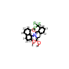 COC(OC)C(C)N(C(=O)c1ccccc1C(F)(F)F)c1c(C)ccc2ccccc12